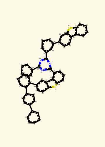 c1ccc(-c2ccc(-c3ccccc3-c3ccc4sc5cccc(-c6nc(-c7ccccc7)nc(-c7cccc(-c8ccc9c(c8)sc8ccccc89)c7)n6)c5c4c3)cc2)cc1